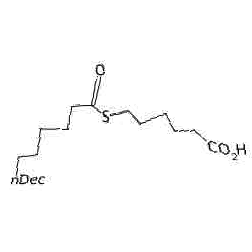 CCCCCCCCCCCCCCCC(=O)SCCCCCC(=O)O